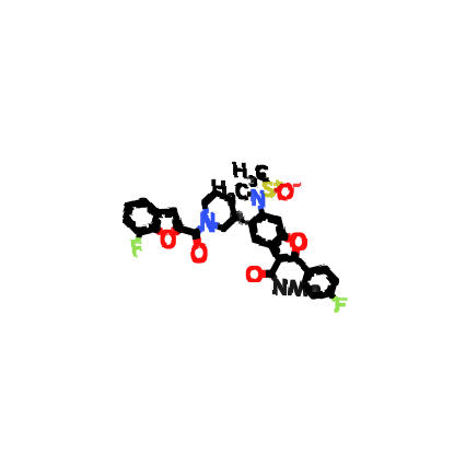 CNC(=O)c1c(-c2ccc(F)cc2)oc2cc(N(C)[S+](C)[O-])c([C@H]3CCCN(C(=O)c4cc5cccc(F)c5o4)C3)cc12